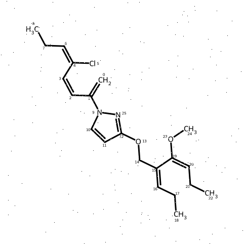 C=C(/C=C\C(Cl)=C/CC)n1ccc(OCC(=C/CC)/C(=C\CC)OC)n1